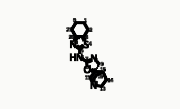 C1CCc2sc(NC3=NC[C@]4(CN5CCC4CC5)O3)nc2C1